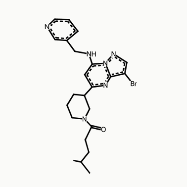 CC(C)CCC(=O)N1CCCC(c2cc(NCc3cccnc3)n3ncc(Br)c3n2)C1